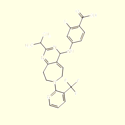 CC(C)C1=NC(Nc2ccc(C(=O)O)c(F)c2)C2=CCN(c3ncccc3C(F)(F)F)CCC2=N1